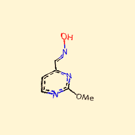 COc1nccc(C=NO)n1